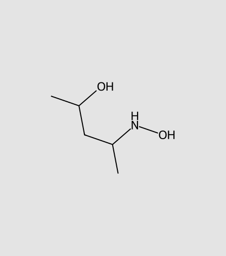 CC(O)CC(C)NO